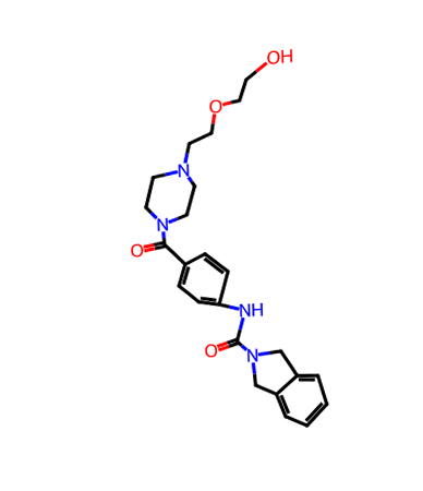 O=C(Nc1ccc(C(=O)N2CCN(CCOCCO)CC2)cc1)N1Cc2ccccc2C1